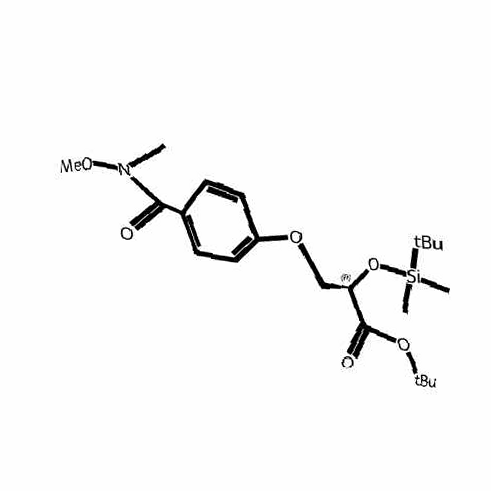 CON(C)C(=O)c1ccc(OC[C@@H](O[Si](C)(C)C(C)(C)C)C(=O)OC(C)(C)C)cc1